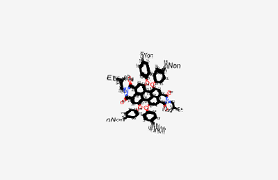 CCCCCCCCCc1ccc(Oc2cc3c4c(cc(Oc5ccc(CCCCCCCCC)cc5)c5c6c(Oc7ccc(CCCCCCCCC)cc7)cc7c8c(cc(Oc9ccc(CCCCCCCCC)cc9)c(c2c45)c86)C(=O)N(CC(CC)CCCC)C7=O)C(=O)N(CC(CC)CCCC)C3=O)cc1